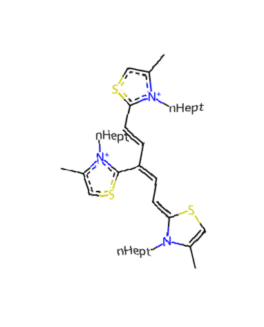 CCCCCCCN1C(C)=CS\C1=C/C=C(/C=C/c1scc(C)[n+]1CCCCCCC)c1scc(C)[n+]1CCCCCCC